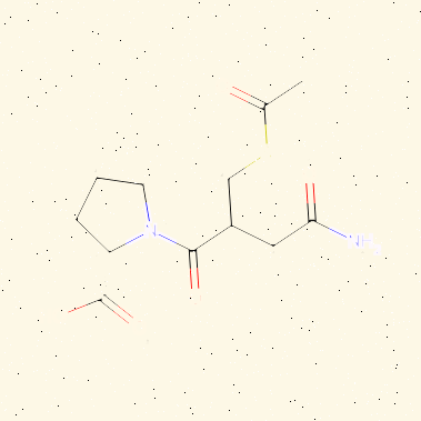 CC(=O)SCC(CC(N)=O)C(=O)N1CCC[C@H]1C(=O)O